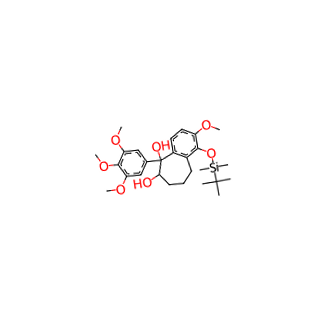 COc1cc(C2(O)c3ccc(OC)c(O[Si](C)(C)C(C)(C)C)c3CCCC2O)cc(OC)c1OC